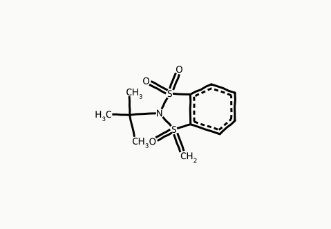 C=S1(=O)c2ccccc2S(=O)(=O)N1C(C)(C)C